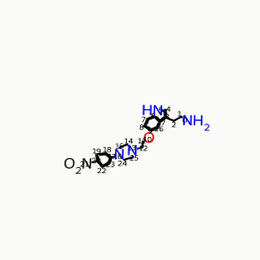 NCCc1c[nH]c2ccc(OCCN3CCN(c4ccc([N+](=O)[O-])cc4)CC3)cc12